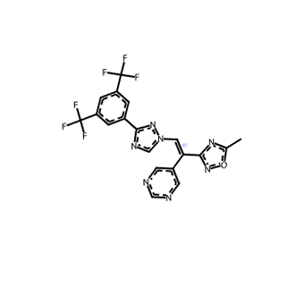 Cc1nc(/C(=C/n2cnc(-c3cc(C(F)(F)F)cc(C(F)(F)F)c3)n2)c2cncnc2)no1